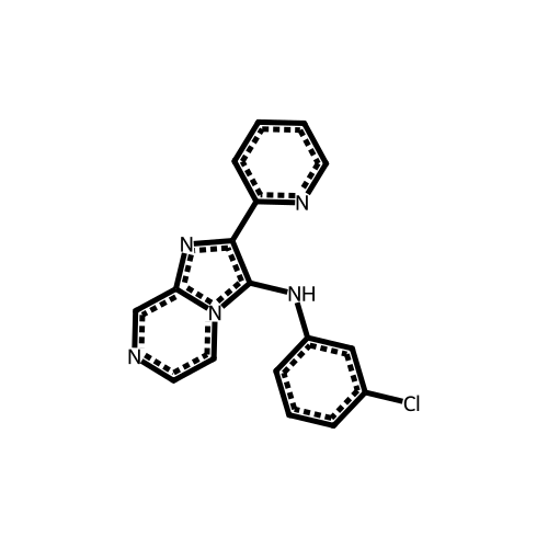 Clc1cccc(Nc2c(-c3ccccn3)nc3cnccn23)c1